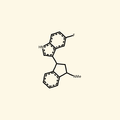 CNC1CC(c2c[nH]c3ccc(F)cc23)c2ccccc21